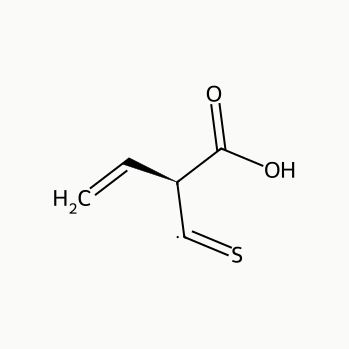 C=C[C@H]([C]=S)C(=O)O